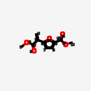 C=C(C(=O)OC)c1ccc(C(=O)OC)o1